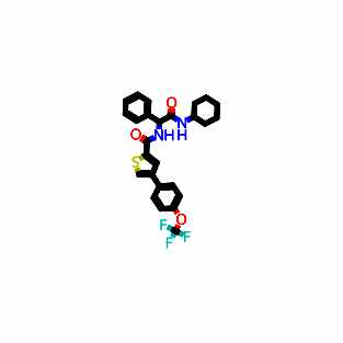 O=C(NC(C(=O)NC1CCCCC1)c1ccccc1)c1cc(-c2ccc(OC(F)(F)F)cc2)cs1